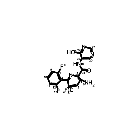 Nc1cc(C(F)(F)F)c(-c2c(F)cccc2F)nc1C(=O)Nc1cncnc1O